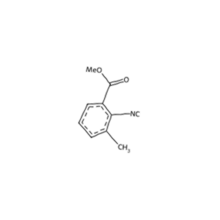 [C-]#[N+]c1c(C)cccc1C(=O)OC